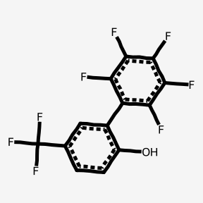 Oc1ccc(C(F)(F)F)cc1-c1c(F)c(F)c(F)c(F)c1F